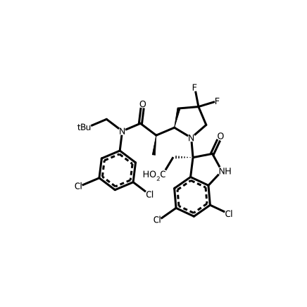 C[C@@H](C(=O)N(CC(C)(C)C)c1cc(Cl)cc(Cl)c1)[C@H]1CC(F)(F)CN1[C@@]1(CC(=O)O)C(=O)Nc2c(Cl)cc(Cl)cc21